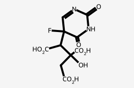 O=C(O)CC(O)(C(=O)O)C(C(=O)O)C1(F)C=NC(=O)NC1=O